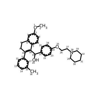 COc1ccc2c(c1)CCC(c1cccc(C)c1)=C2C(O)c1ccc(OCCN2CCCCC2)cc1